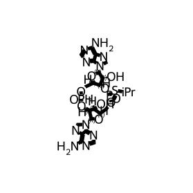 CC(C)SP1(=O)OC[C@H]2O[C@@H](n3cnc4c(N)ncnc43)[C@H](O[PH](=O)OC[C@H]3O[C@@H](n4cnc5c(N)ncnc54)[C@H](O)[C@@H]3O1)[C@@H]2O